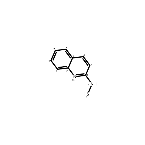 SNc1ccc2ccccc2n1